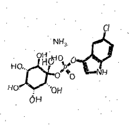 N.O=P(O)(Oc1c[nH]c2ccc(Cl)cc12)O[C@]1(O)[C@H](O)[C@H](O)[C@@H](O)[C@H](O)[C@H]1O